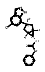 O=C(Nc1ccccc1)N[C@@H]1[C@@H]2C[C@@](O)(c3cc(Cl)cc4cn[nH]c34)C[C@@H]21